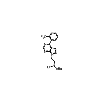 CCCCN(CC)CCn1ncc2c(-c3ccccc3C(F)(F)F)ncnc21